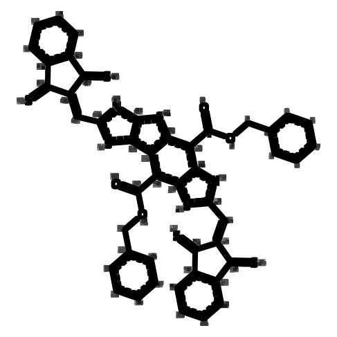 O=C(OCc1ccccc1)c1c2nc(C=C3C(=S)c4ccccc4C3=S)sc2c(C(=O)OCc2ccccc2)c2c1sc1nc(C=C3C(=S)c4ccccc4C3=S)sc12